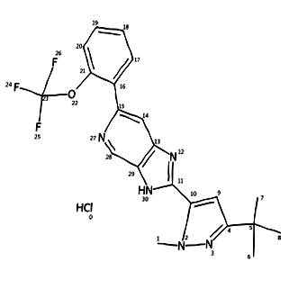 Cl.Cn1nc(C(C)(C)C)cc1-c1nc2cc(-c3ccccc3OC(F)(F)F)ncc2[nH]1